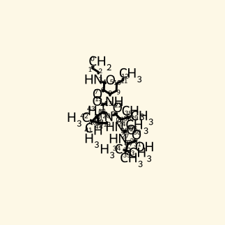 C=CCNC(=O)C(=O)C(CCCC)NC(=O)[C@@H]1[C@@H]2[C@H](CN1C(=O)[C@@H](NC(=O)N[C@H](C(=O)O)C(C)(C)C)C(C)(C)C)C2(C)C